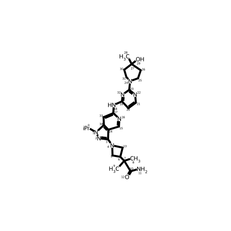 CC(C)n1nc(N2CC(C(C)(C)C(N)=O)C2)c2cnc(Nc3ccnc(N4CCC(C)(O)CC4)n3)cc21